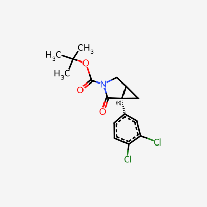 CC(C)(C)OC(=O)N1CC2C[C@@]2(c2ccc(Cl)c(Cl)c2)C1=O